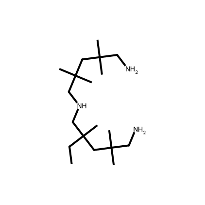 CCC(C)(CNCC(C)(C)CC(C)(C)CN)CC(C)(C)CN